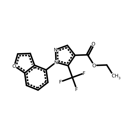 CCOC(=O)c1cnn(-c2cccc3occc23)c1C(F)(F)F